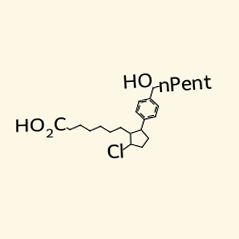 CCCCCC(O)c1ccc(C2CCC(Cl)C2CCCCCCC(=O)O)cc1